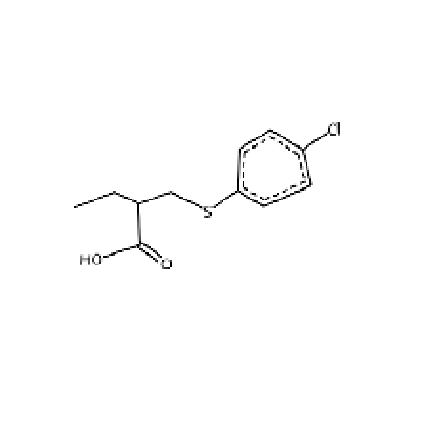 CCC(CSc1ccc(Cl)cc1)C(=O)O